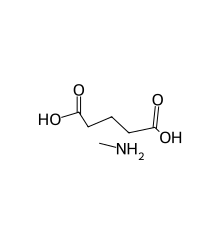 CN.O=C(O)CCCC(=O)O